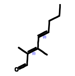 CCC/C=C/C(C)=C(\C)C=O